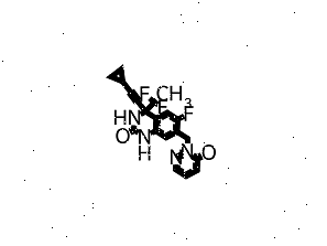 CC(F)(F)C1(C#CC2CC2)NC(=O)Nc2cc(Cn3ncccc3=O)c(F)cc21